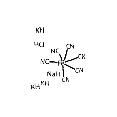 Cl.N#[C][Fe]([C]#N)([C]#N)([C]#N)([C]#N)[C]#N.[KH].[KH].[KH].[NaH]